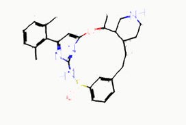 Cc1cccc(C)c1-c1cc2nc(n1)N[S+]([O-])c1cccc(c1)CCC1CCNCC1C(C)O2